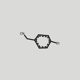 [C-]#[N+]Cc1ccc(CC)cc1